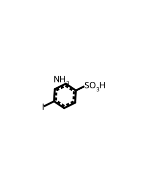 N.O=S(=O)(O)c1ccc(I)cc1